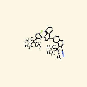 CC(C)(C)c1ccc(F)c(-c2ccc(-c3ccc4ccc(C#N)c(C(C)(C)C)c4c3)c3ccccc23)c1